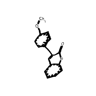 COc1ccc(C2=Cc3ccccc3[N]C2=O)cc1